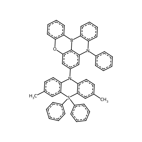 Cc1ccc2c(c1)S(c1ccccc1)(c1ccccc1)c1cc(C)ccc1N2c1cc2c3c(c1)N(c1ccccc1)c1ccccc1B3c1ccccc1O2